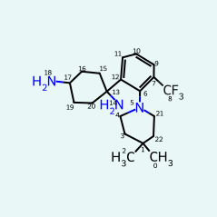 CC1(C)CCN(c2c(C(F)(F)F)cccc2C2(N)CCC(N)CC2)CC1